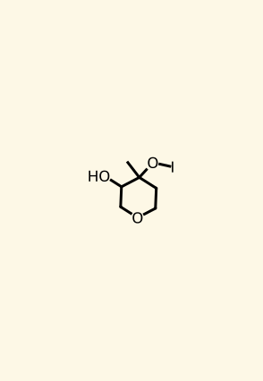 CC1(OI)CCOCC1O